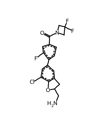 NCC1Cc2cc(-c3ccc(C(=O)N4CC(F)(F)C4)cc3F)cc(Cl)c2O1